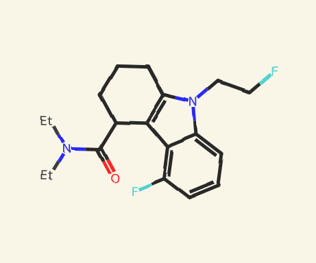 CCN(CC)C(=O)C1CCCc2c1c1c(F)cccc1n2CCF